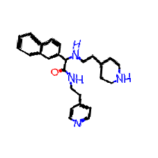 O=C(NCCc1ccncc1)C(NCCC1CCNCC1)c1ccc2ccccc2c1